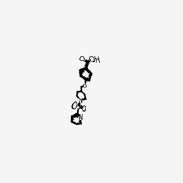 O=C(O)c1ccc(OCC2CCN(S(=O)(=O)c3ccccn3)CC2)cc1